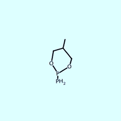 CC1COP(P)OC1